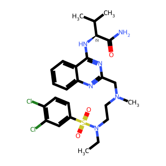 CCN(CCN(C)Cc1nc(N[C@H](C(N)=O)C(C)C)c2ccccc2n1)S(=O)(=O)c1ccc(Cl)c(Cl)c1